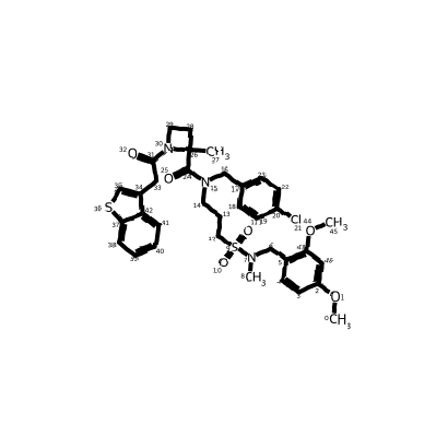 COc1ccc(CN(C)S(=O)(=O)CCCN(Cc2ccc(Cl)cc2)C(=O)C2(C)CCN2C(=O)Cc2csc3ccccc23)c(OC)c1